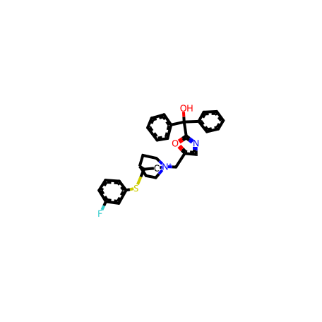 OC(c1ccccc1)(c1ccccc1)c1ncc(C[N+]23CCC(CC2)C(Sc2cccc(F)c2)C3)o1